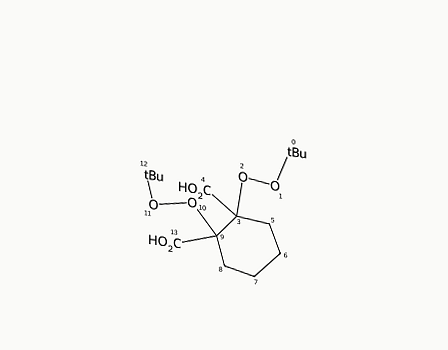 CC(C)(C)OOC1(C(=O)O)CCCCC1(OOC(C)(C)C)C(=O)O